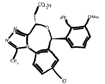 COc1cccc([C@@H]2O[C@@H](CC(=O)O)c3nnc(C(F)(F)F)n3-c3ccc(Cl)cc32)c1C(C)C